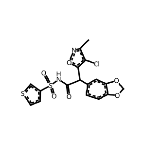 Cc1noc(C(C(=O)NS(=O)(=O)c2ccsc2)c2ccc3c(c2)OCO3)c1Cl